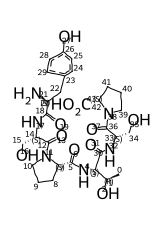 C[C@@H](O)[C@H](NC(=O)[C@@H]1CCCN1C(=O)[C@H](CO)NC(=O)[C@@H](N)Cc1ccc(O)cc1)C(=O)N[C@@H](CO)C(=O)N1CCC[C@H]1C(=O)O